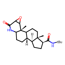 CC(C)(C)NC(=O)[C@H]1CC[C@H]2[C@@H]3CCC4NC(=O)C5OC5[C@]4(C)C3CC[C@]12C